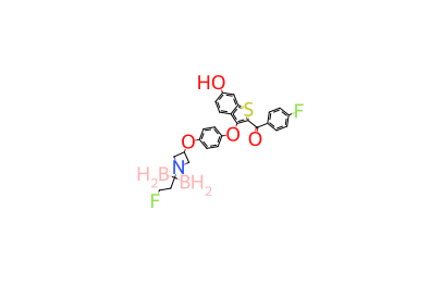 BC(B)(CCF)N1CC(Oc2ccc(Oc3c(C(=O)c4ccc(F)cc4)sc4cc(O)ccc34)cc2)C1